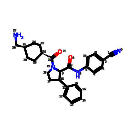 N#Cc1ccc(NC(=O)C2C(c3ccccc3)CCN2C(=O)[C@H]2CC[C@H](CN)CC2)cc1